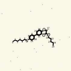 CCCCCCSc1ccc(-c2ccc(O[C@H](C)C(=O)OCCCCC)cc2)cc1